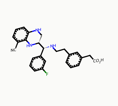 N#Cc1cccc2c1N[C@@H]([C@H](NCCc1cccc(CC(=O)O)c1)c1cccc(F)c1)CN2